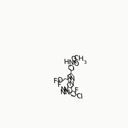 COC(=O)Nc1ccc(-c2cnn(C(CCOC(F)F)c3ccc(-c4c(-n5cnnn5)ccc(Cl)c4F)cn3)c2)cc1